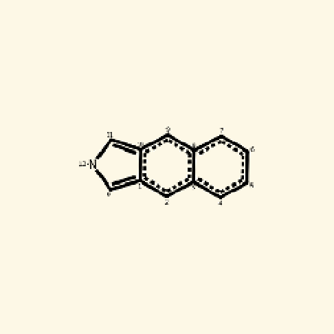 C1=c2cc3ccccc3cc2=C[N]1